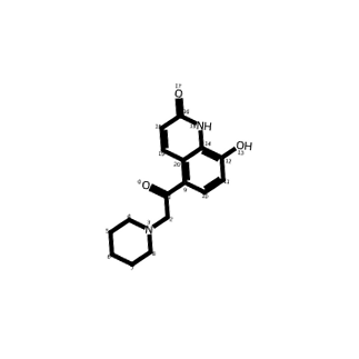 O=C(CN1CCCCC1)c1ccc(O)c2[nH]c(=O)ccc12